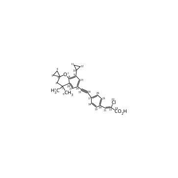 CC1(C)CC2(CC2)Oc2c(C3CC3)cc(C#Cc3ccc(/C=C(\Cl)C(=O)O)cc3)cc21